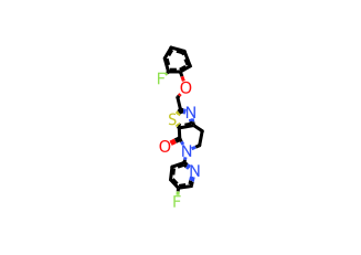 O=C1c2sc(COc3ccccc3F)nc2CCN1c1ccc(F)cn1